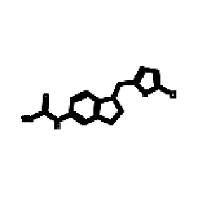 CC(C)(C)C(=O)Nc1ccc2c(c1)CCN2Cc1ccc(Cl)s1